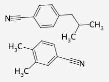 CC(C)Cc1ccc(C#N)cc1.Cc1ccc(C#N)cc1C